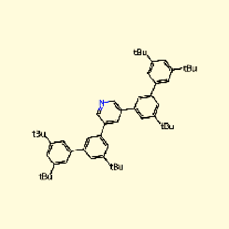 CC(C)(C)c1cc(-c2cncc(-c3cc(-c4cc(C(C)(C)C)cc(C(C)(C)C)c4)cc(C(C)(C)C)c3)c2)cc(-c2cc(C(C)(C)C)cc(C(C)(C)C)c2)c1